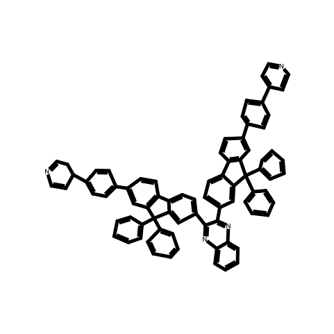 C1=CC(c2ccc(-c3ccc4c(c3)C(c3ccccc3)(c3ccccc3)c3cc(-c5nc6ccccc6nc5-c5ccc6c(c5)C(c5ccccc5)(c5ccccc5)c5cc(-c7ccc(-c8ccncc8)cc7)ccc5-6)ccc3-4)cc2)CC=N1